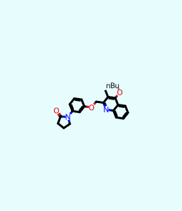 CCCCOc1c(C)c(COc2cccc(N3CCCC3=O)c2)nc2ccccc12